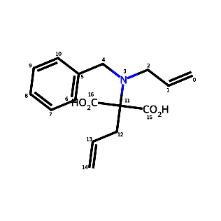 C=CCN(Cc1ccccc1)C(CC=C)(C(=O)O)C(=O)O